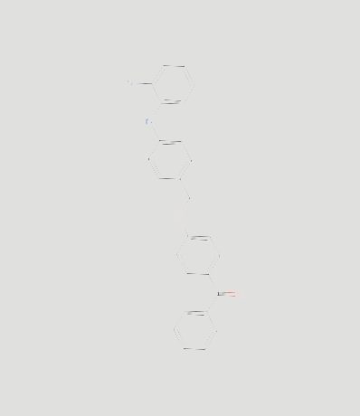 Nc1ccccc1Nc1ccc(COc2ccc(C(=O)c3ccccc3)cc2)cc1